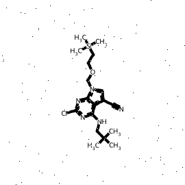 CC(C)(C)CNc1nc(Cl)nc2c1c(C#N)cn2COCC[Si](C)(C)C